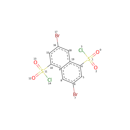 O=S(=O)(Cl)c1cc(Br)cc2c(S(=O)(=O)Cl)cc(Br)cc12